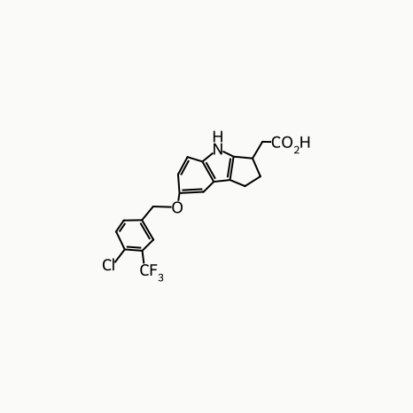 O=C(O)CC1CCc2c1[nH]c1ccc(OCc3ccc(Cl)c(C(F)(F)F)c3)cc21